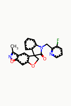 Cc1noc2cc3c(cc12)C1(CO3)C(=O)N(Cc2ncccc2F)c2ccccc21